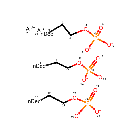 CCCCCCCCCCCCOP(=O)([O-])[O-].CCCCCCCCCCCCOP(=O)([O-])[O-].CCCCCCCCCCCCOP(=O)([O-])[O-].[Al+3].[Al+3]